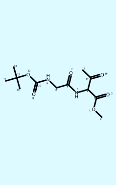 COC(=O)C(NC(=O)CNC(=O)OC(C)(C)C)C(C)=O